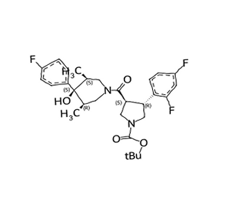 C[C@@H]1CN(C(=O)[C@@H]2CN(C(=O)OC(C)(C)C)C[C@H]2c2ccc(F)cc2F)C[C@H](C)[C@@]1(O)c1ccc(F)cc1